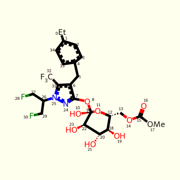 CCc1ccc(Cc2c(O[C@]3(O)O[C@H](COC(=O)OC)[C@@H](O)[C@H](O)[C@H]3O)nn(C(CF)CF)c2C(F)(F)F)cc1